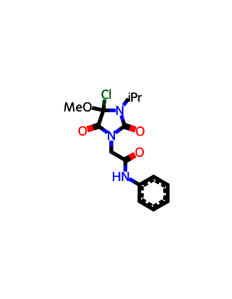 COC1(Cl)C(=O)N(CC(=O)Nc2ccccc2)C(=O)N1C(C)C